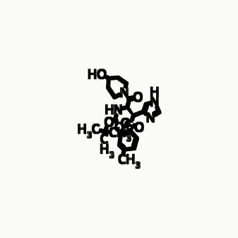 Cc1ccc(S(=O)(=O)[C@H](c2c[nH]cn2)C(NC(=O)OC(C)(C)C)C(=O)N2CCC(O)CC2)cc1